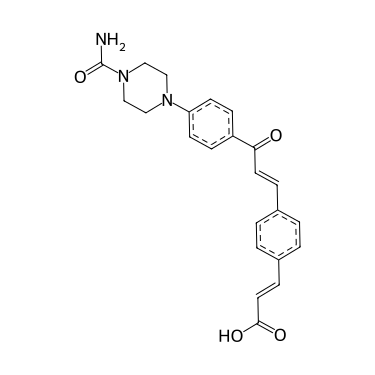 NC(=O)N1CCN(c2ccc(C(=O)C=Cc3ccc(C=CC(=O)O)cc3)cc2)CC1